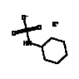 O=S(=O)([O-])NC1CCCCC1.[K+]